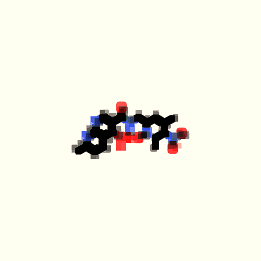 CCC(C(C)=CC(CNC(=O)c1cnc2nc(C)ccc2c1O)=NO)[N+](=O)[O-]